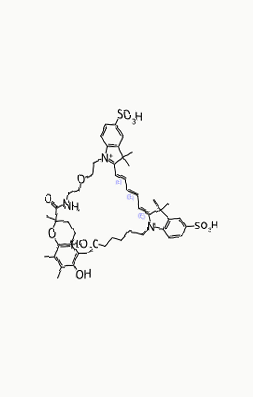 Cc1c(C)c2c(c(C)c1O)CCC(C)(C(=O)NCCOCC[N+]1=C(/C=C/C=C/C=C3/N(CCCCCC(=O)O)c4ccc(S(=O)(=O)O)cc4C3(C)C)C(C)(C)c3cc(S(=O)(=O)O)ccc31)O2